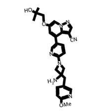 COc1ccc(CC2(N)CN(c3ccc(-c4cc(OCC(C)(C)O)cn5ncc(C#N)c45)cn3)C2)cn1